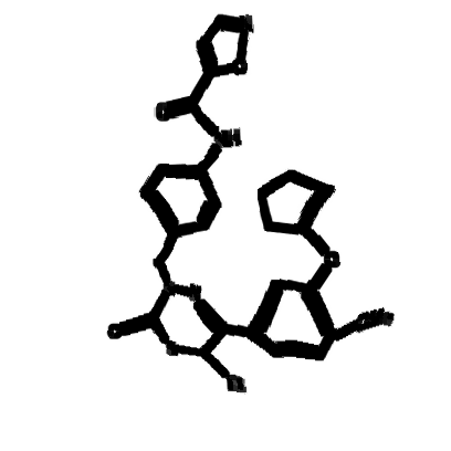 CCC1SC(=O)N(Cc2ccc(NC(=O)c3ccno3)cc2)N=C1c1ccc(OC)c(OC2CCCC2)c1